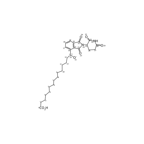 O=C(O)CCCCCCCCCCCCC[S+]([O-])c1cccc2c1C(=O)N(C1CCC(=O)NC1=O)C2=O